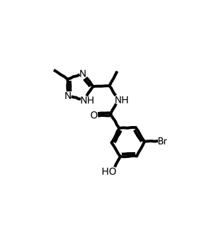 Cc1n[nH]c(C(C)NC(=O)c2cc(O)cc(Br)c2)n1